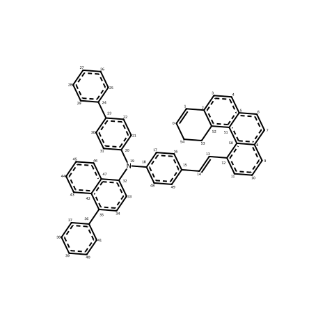 C1=Cc2ccc3ccc4cccc(C=Cc5ccc(N(c6ccc(-c7ccccc7)cc6)c6ccc(-c7ccccc7)c7ccccc67)cc5)c4c3c2CC1